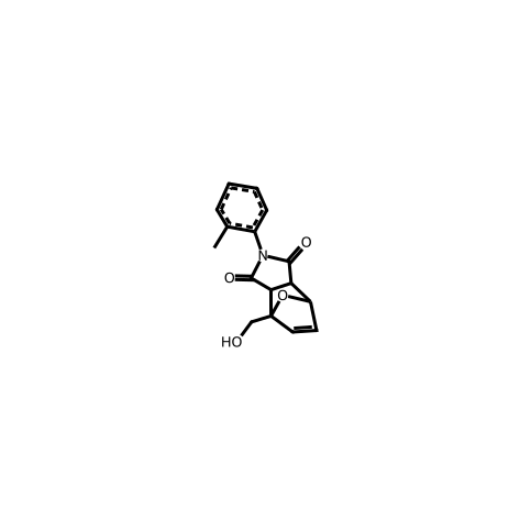 Cc1ccccc1N1C(=O)C2C3C=CC(CO)(O3)C2C1=O